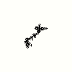 O=C(CCOCCNc1cccc2c1CN(C1CCC(=O)NC1=O)C2=O)NCCOc1ccc(C(=C(CCCl)c2ccccc2)c2ccc(O)cc2)cc1